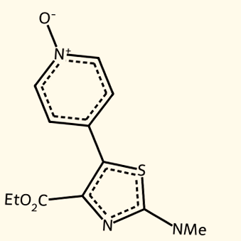 CCOC(=O)c1nc(NC)sc1-c1cc[n+]([O-])cc1